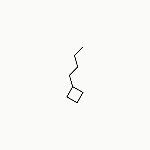 CCCCC1CCC1